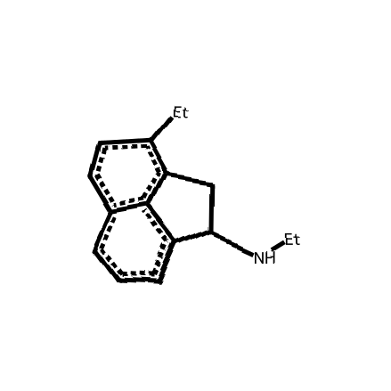 CCNC1Cc2c(CC)ccc3cccc1c23